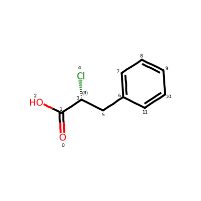 O=C(O)[C@H](Cl)Cc1ccccc1